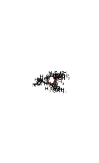 CO[C@]1(C)C[C@H](O[C@H]2[C@H](C)[C@@H](O[C@@H]3O[C@H](C)C[C@H](N(C)C)[C@H]3O)[C@](C)(O)C[C@@H](C)CN(C)C(=O)C[C@@H](CC#Cc3n[nH]c4cc(C#N)ccc34)NC(=O)[C@@H]2C)O[C@@H](C)[C@@H]1O